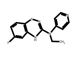 CCN(C1=NSc2ccc(F)cc2N1)c1ccncc1